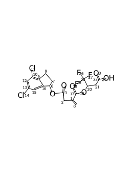 C=C(CC(=O)OC1CCc2c(Cl)cc(Cl)cc21)C(=O)OC(CC(=O)O)C(F)(F)F